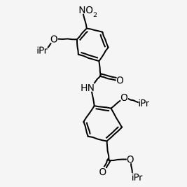 CC(C)OC(=O)c1ccc(NC(=O)c2ccc([N+](=O)[O-])c(OC(C)C)c2)c(OC(C)C)c1